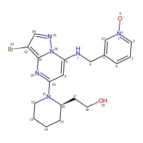 [O-][n+]1cccc(CNc2cc(N3CCCC[C@@H]3CCO)nc3c(Br)cnn23)c1